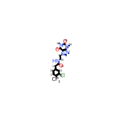 Cn1c(=O)c2c(ncn2CCNC(=O)Cc2ccc(C(F)(F)F)c(Cl)c2)n(C)c1=O